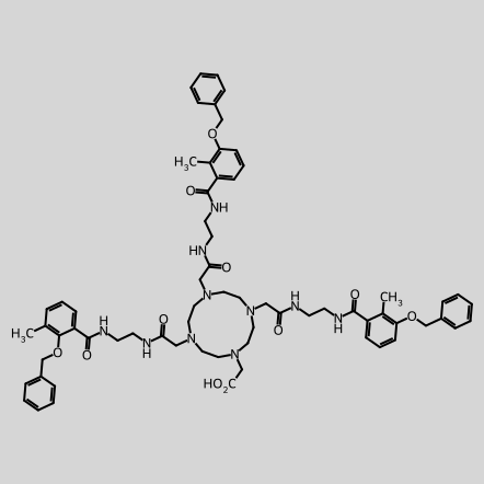 Cc1cccc(C(=O)NCCNC(=O)CN2CCN(CC(=O)O)CCN(CC(=O)NCCNC(=O)c3cccc(OCc4ccccc4)c3C)CCN(CC(=O)NCCNC(=O)c3cccc(OCc4ccccc4)c3C)CC2)c1OCc1ccccc1